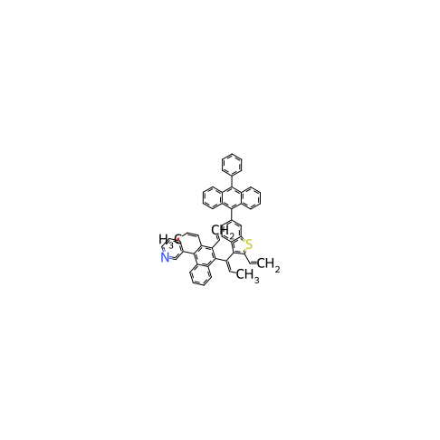 C=Cc1sc2cc(-c3c4ccccc4c(-c4ccccc4)c4ccccc34)ccc2c1/C(=C\C)c1c(C=C)c(/C=C\C)c(-c2cccnc2)c2ccccc12